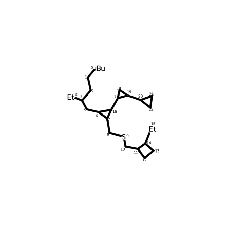 CCC(C)CCC(CC)CC1C(CSCC2CCC2CC)C1C1CC1C1CC1